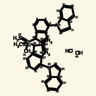 CC1=Cc2c(cccc2-n2ccc3ccccc32)[CH]1[Zr]([CH3])([CH3])(=[SiH2])[CH]1C(C)=Cc2c1cccc2-n1ccc2ccccc21.Cl.Cl